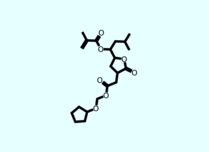 C=C(C)C(=O)OC(CC(C)C)C1CC(CC(=O)OCOC2CCCC2)C(=O)O1